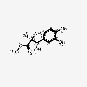 [2H][C@@](N)(C(=O)OC)[C@@H](O)c1ccc(O)c(O)c1